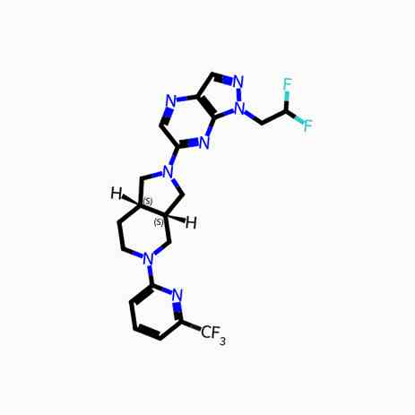 FC(F)Cn1ncc2ncc(N3C[C@H]4CCN(c5cccc(C(F)(F)F)n5)C[C@H]4C3)nc21